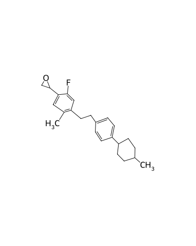 Cc1cc(C2CO2)c(F)cc1CCc1ccc(C2CCC(C)CC2)cc1